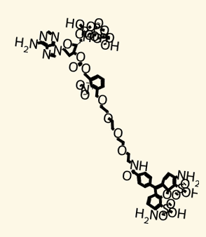 NC1=C(S(=O)(=O)O)C2Oc3c(ccc(N)c3S(=O)(=O)O)C(c3ccc(C(=O)NCCOCCOCCOCCOCc4cccc(COC(=O)OC5C[C@H](n6cnc7c(N)ncnc76)O[C@@H]5COP(=O)(O)OP(=O)(O)OP(=O)(O)O)c4[N+](=O)[O-])cc3)=C2C=C1